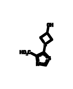 O=C(O)c1ncsc1N1CC(O)C1